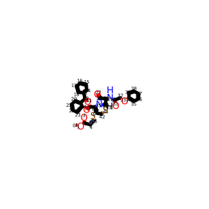 COC(=O)/C=C\SC1=C(C(=O)OC(c2ccccc2)c2ccccc2)N2C(=O)[C@@H](NC(=O)COc3ccccc3)[C@H]2SC1